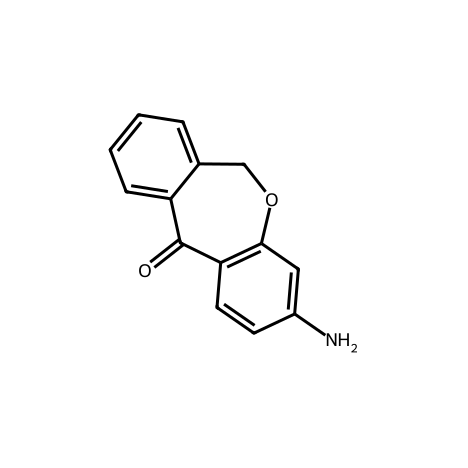 Nc1ccc2c(c1)OCc1ccccc1C2=O